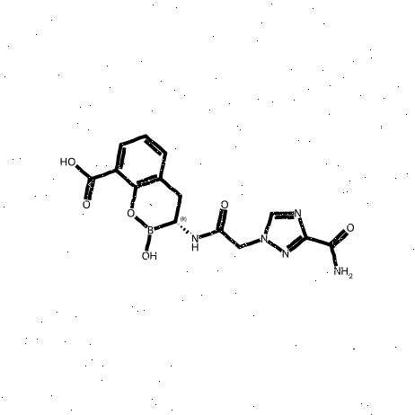 NC(=O)c1ncn(CC(=O)N[C@H]2Cc3cccc(C(=O)O)c3OB2O)n1